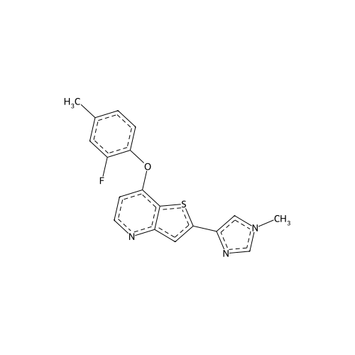 Cc1ccc(Oc2ccnc3cc(-c4cn(C)cn4)sc23)c(F)c1